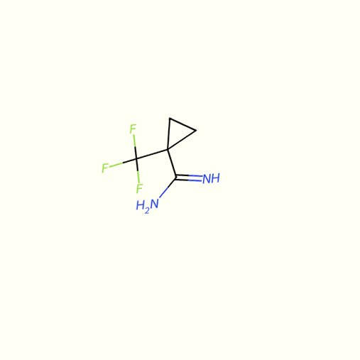 N=C(N)C1(C(F)(F)F)CC1